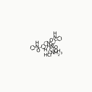 CC(C)(N)C(=O)N[C@H](Cc1c[nH]c2ccccc12)C(=O)N1CCc2cc(C(=O)Nc3ccccc3)ccc2C1.Cl